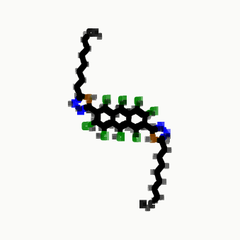 CCCCCCCCc1nnc(-c2c(Cl)c(Cl)c3c(Cl)c4c(Cl)c(-c5nnc(CCCCCCCC)s5)c(Cl)c(Cl)c4c(Cl)c3c2Cl)s1